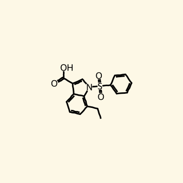 CCc1cccc2c(C(=O)O)cn(S(=O)(=O)c3ccccc3)c12